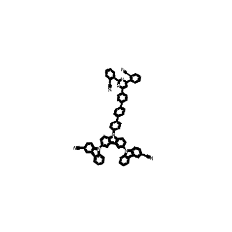 N#Cc1ccc2c(c1)c1ccccc1n2-c1ccc2c(c1)c1cc(-n3c4ccccc4c4cc(C#N)ccc43)ccc1n2-c1ccc(-c2ccc(-c3ccc(-c4cc(-c5ccccc5C#N)nc(-c5ccccc5C#N)n4)cc3)cc2)cc1